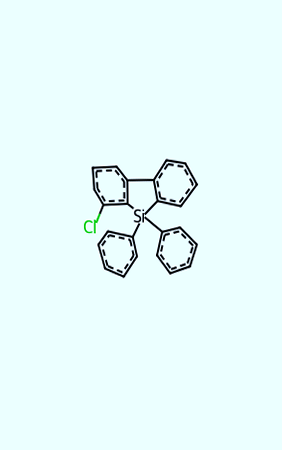 Clc1cccc2c1[Si](c1ccccc1)(c1ccccc1)c1ccccc1-2